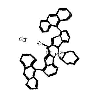 CC(C)CC1=Cc2c(-c3c4ccccc4cc4ccccc34)cccc2[CH]1[Hf+2]1([CH]2C(CC(C)C)=Cc3c(-c4c5ccccc5cc5ccccc45)cccc32)[CH]2CCCC[CH]21.[Cl-].[Cl-]